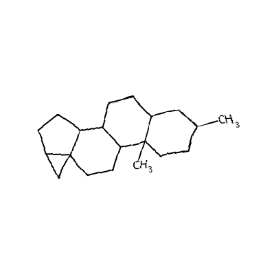 CC1CCC2(C)C(CCC3C2CCC24CC2CCC34)C1